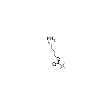 CC(C)(C)C(=O)OCCCCCP